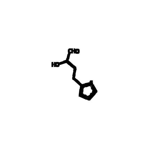 O=CC(O)CCc1cccs1